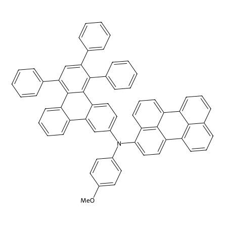 COc1ccc(N(c2ccc3c(c2)c2ccccc2c2c(-c4ccccc4)cc(-c4ccccc4)c(-c4ccccc4)c32)c2ccc3c4cccc5cccc(c6cccc2c63)c54)cc1